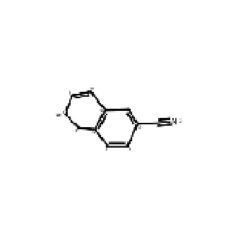 N#Cc1ccc2c(c1)C=C[N]C2